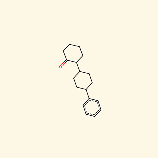 O=C1CCCCC1C1CCC(c2ccccc2)CC1